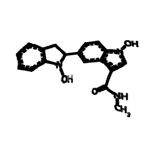 CNC(=O)c1cn(O)c2ccc(C3Cc4ccccc4N3O)cc12